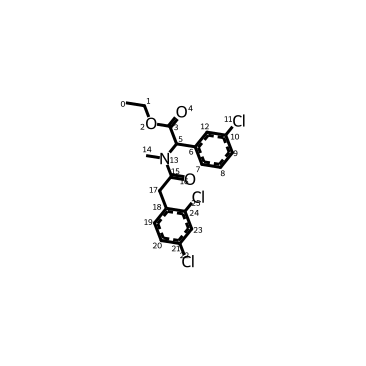 CCOC(=O)C(c1cccc(Cl)c1)N(C)C(=O)Cc1ccc(Cl)cc1Cl